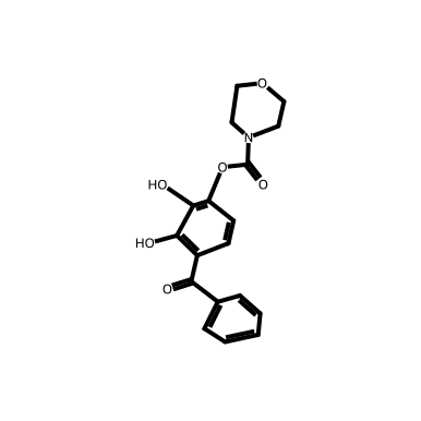 O=C(c1ccccc1)c1ccc(OC(=O)N2CCOCC2)c(O)c1O